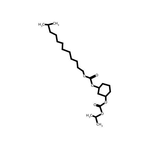 CC(C)CCCCCCCCCCOC(=O)OC1CCCC(OC(=O)OC(C)C)C1